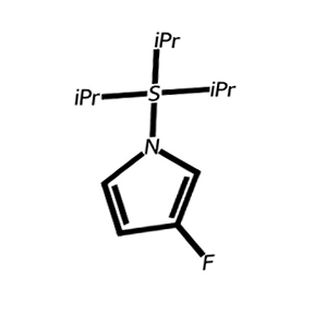 CC(C)S(C(C)C)(C(C)C)n1ccc(F)c1